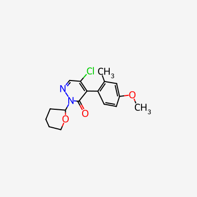 COc1ccc(-c2c(Cl)cnn(C3CCCCO3)c2=O)c(C)c1